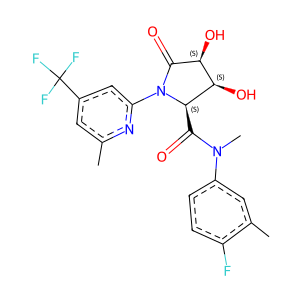 Cc1cc(C(F)(F)F)cc(N2C(=O)[C@@H](O)[C@@H](O)[C@H]2C(=O)N(C)c2ccc(F)c(C)c2)n1